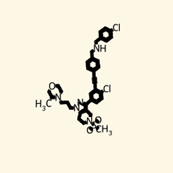 C[C@H]1COCCN1CCCn1nc(-c2ccc(Cl)c(C#Cc3ccc(CNCc4ccc(Cl)cc4)cc3)c2)c2c1CCN(S(C)(=O)=O)C2